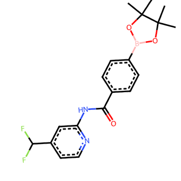 CC1(C)OB(c2ccc(C(=O)Nc3cc(C(F)F)ccn3)cc2)OC1(C)C